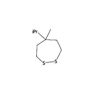 CC(C)C1(C)CCSSCC1